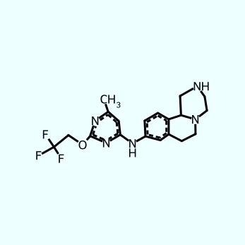 Cc1cc(Nc2ccc3c(c2)CCN2CCNCC32)nc(OCC(F)(F)F)n1